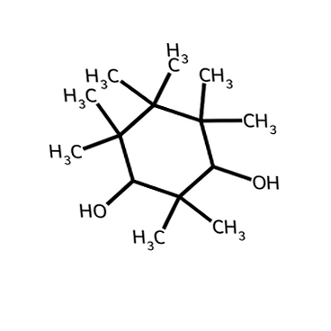 CC1(C)C(O)C(C)(C)C(C)(C)C(C)(C)C1O